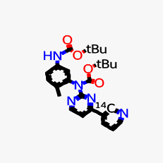 Cc1ccc(NC(=O)OC(C)(C)C)cc1N(C(=O)OC(C)(C)C)c1nccc(-c2cccn[14cH]2)n1